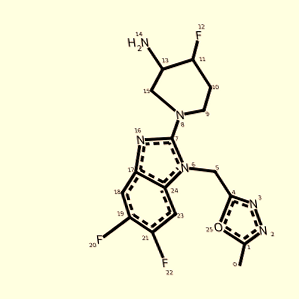 Cc1nnc(Cn2c(N3CCC(F)C(N)C3)nc3cc(F)c(F)cc32)o1